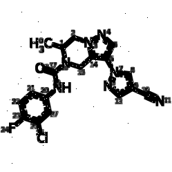 CC1Cn2ncc(-n3cc(C#N)cn3)c2CN1C(=O)Nc1ccc(F)c(Cl)c1